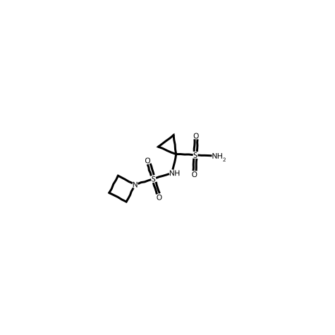 NS(=O)(=O)C1(NS(=O)(=O)N2CCC2)CC1